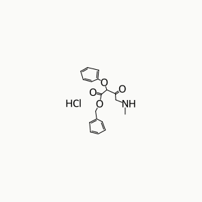 CNCC(=O)C(Oc1ccccc1)C(=O)OCc1ccccc1.Cl